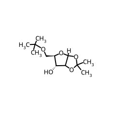 CC(C)(C)OC[C@H]1O[C@@H]2OC(C)(C)OC2[C@@H]1O